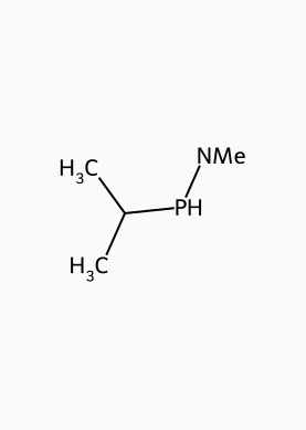 CNPC(C)C